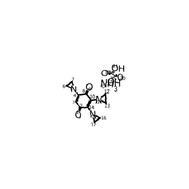 N.O=C1C=C(N2CC2)C(=O)C(N2CC2)=C1N1CC1.O=S(=O)(O)O